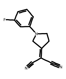 N#CC(C#N)=C1CCN(c2cccc(F)c2)C1